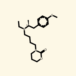 CCN(CCCCN1CCCOC1=O)[C@@H](C)Cc1ccc(SC)cc1